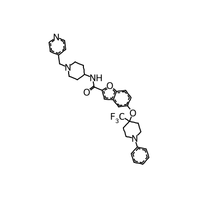 O=C(NC1CCN(Cc2ccncc2)CC1)c1cc2cc(OC3(C(F)(F)F)CCN(c4ccccc4)CC3)ccc2o1